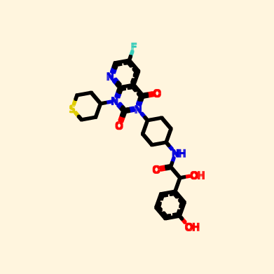 O=C(NC1CCC(n2c(=O)c3cc(F)cnc3n(C3CCSCC3)c2=O)CC1)C(O)c1cccc(O)c1